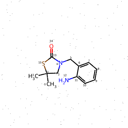 CC1(C)CN(Cc2ccccc2N)C(=O)S1